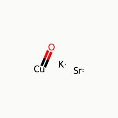 [K].[O]=[Cu].[Sr]